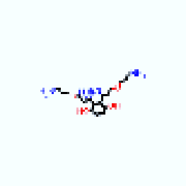 NCCCOCCC(N)c1c(O)ccc(O)c1C(N)CCOCCCN